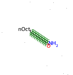 CCCCCCCCC=CC(F)(F)C(F)(F)C(F)(F)C(F)(F)C(F)(F)C(F)(F)C(F)(F)C(F)(F)C(F)(F)C(F)(F)C(F)(F)C(N)=O